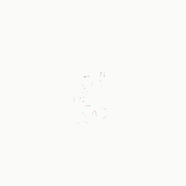 CC(C)c1cccc(C(=O)N2CCOCC2)c1OC1(Cc2cccc(Cl)c2)C(=O)Nc2cc(Cl)ccc21